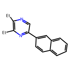 CCc1ncc(-c2ccc3ccccc3c2)nc1CC